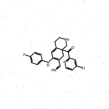 CCc1ccnc(C(=O)C23CNCCC2=CC(Nc2ccc(F)cc2)=C(C=N)C3)c1